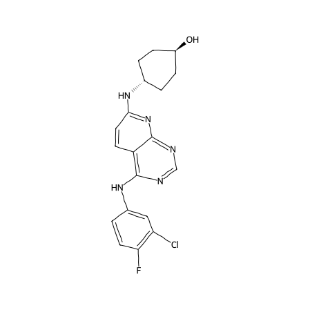 O[C@H]1CC[C@H](Nc2ccc3c(Nc4ccc(F)c(Cl)c4)ncnc3n2)CC1